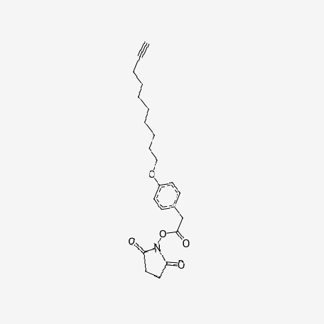 C#CCCCCCCCCOc1ccc(CC(=O)ON2C(=O)CCC2=O)cc1